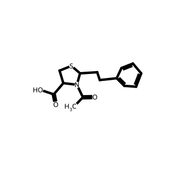 CC(=O)N1C(CCc2ccccc2)SCC1C(=O)O